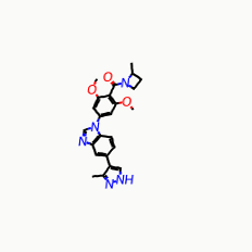 COc1cc(-n2cnc3cc(-c4c[nH]nc4C)ccc32)cc(OC)c1C(=O)N1CCC1C